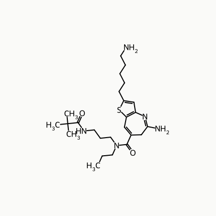 CCCN(CCCNC(=O)C(C)(C)C)C(=O)C1=Cc2sc(CCCCCN)cc2N=C(N)C1